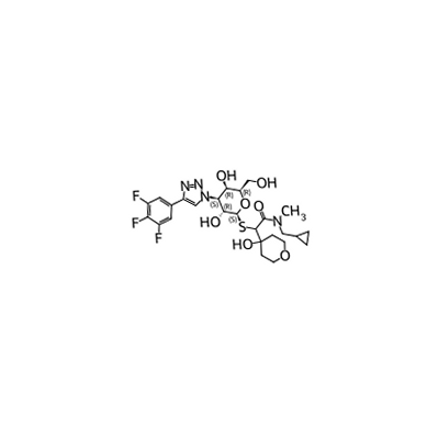 CN(CC1CC1)C(=O)C(S[C@@H]1O[C@H](CO)[C@H](O)[C@H](n2cc(-c3cc(F)c(F)c(F)c3)nn2)[C@H]1O)C1(O)CCOCC1